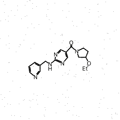 CCOC1CCN(C(=O)c2cnc(NCc3cccnc3)nc2)C1